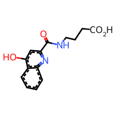 O=C(O)CCCNC(=O)c1cc(O)c2ccccc2n1